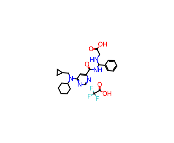 O=C(O)C(F)(F)F.O=C(O)CNC(NC(=O)c1cc(N(CC2CC2)C2CCCCC2)ncn1)c1ccccc1